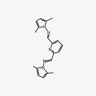 Cc1ccc(C)n1/N=C/c1cccc(/C=N/n2c(C)ccc2C)n1